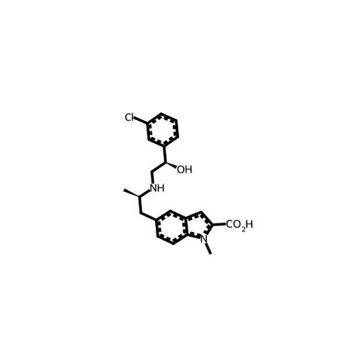 C[C@H](Cc1ccc2c(c1)cc(C(=O)O)n2C)NC[C@H](O)c1cccc(Cl)c1